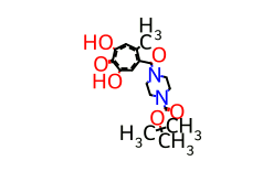 Cc1cc(O)c(=O)c(O)cc1C(=O)N1CCN(C(=O)OC(C)(C)C)CC1